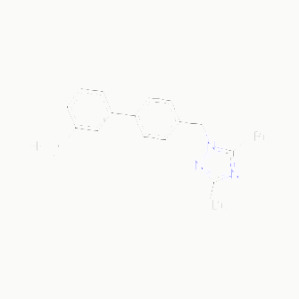 CC(C)(C)c1nc(C(C)(C)C)n(Cc2ccc(-c3cccc(C(=O)O)c3)cc2)n1